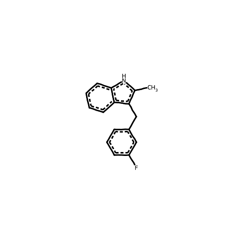 Cc1[nH]c2ccccc2c1Cc1cccc(F)c1